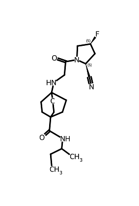 CCC(C)NC(=O)C12CCC(NCC(=O)N3C[C@@H](F)C[C@H]3C#N)(CC1)CC2